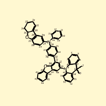 CC1(C)c2ccccc2N(c2cc(-c3ccc(N(c4ccccc4)c4ccc5c(c4)C4=CCCCC4O5)cc3)c3oc4ccccc4c3c2)c2ccccc21